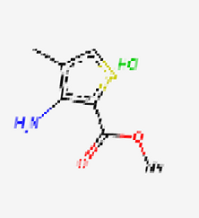 CCCOC(=O)c1scc(C)c1N.Cl